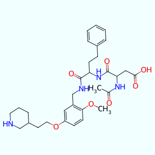 COc1ccc(OCCC2CCCNC2)cc1CNC(=O)C(CCc1ccccc1)NC(=O)C(CC(=O)O)NC(C)=O